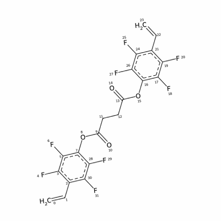 C=Cc1c(F)c(F)c(OC(=O)CCC(=O)Oc2c(F)c(F)c(C=C)c(F)c2F)c(F)c1F